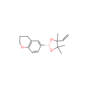 C=CC1(C)OB(c2ccc3c(c2)CCCO3)OC1(C)C